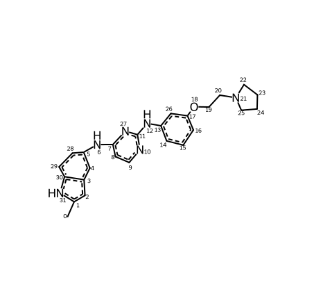 Cc1cc2cc(Nc3ccnc(Nc4cccc(OCCN5CCCC5)c4)n3)ccc2[nH]1